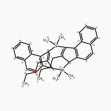 CCCCC1=C2c3c(ccc4ccccc34)[CH]1[Nb]([CH3])([CH3])[CH]1C(CCCC)=C(c3c1ccc1ccccc31)[Si]2(C)C